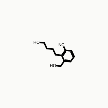 N#Cc1cccc(CO)c1CCCCO